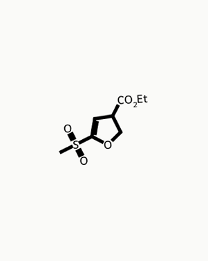 CCOC(=O)C1C=C(S(C)(=O)=O)OC1